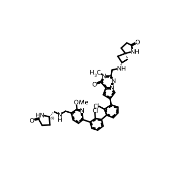 COc1nc(-c2cccc(-c3cccc(-c4cc5c(=O)n(C)c(CN[C@H]6C[C@@]7(CCC(=O)N7)C6)nn5c4)c3Cl)c2Cl)ccc1CNC[C@@H]1CCC(=O)N1